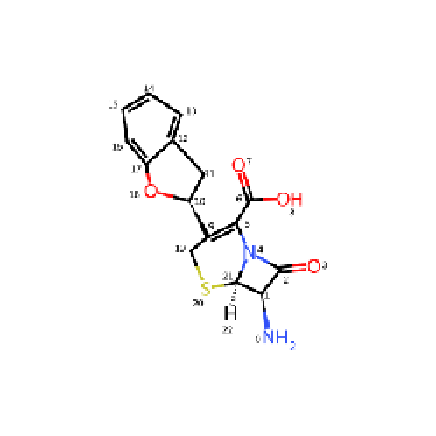 N[C@@H]1C(=O)N2C(C(=O)O)=C([C@@H]3Cc4ccccc4O3)CS[C@H]12